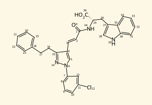 O=C(C=Cc1cn(-c2cccc(Cl)c2)nc1CCc1ccccc1)N[C@@H](Cc1c[nH]c2ccccc12)C(=O)O